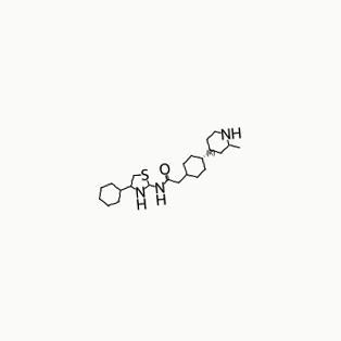 CC1C[C@H](C2CCC(CC(=O)NC3NC(C4CCCCC4)CS3)CC2)CCN1